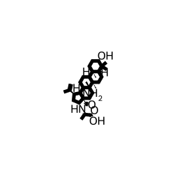 C=C(C)[C@@H]1CC[C@]2(C(=O)NC(C)C(=O)O)CC[C@@]3(C)[C@]4(C)CC[C@H]5C(C)(C)[C@@H](O)CC[C@]5(C)[C@H]4CC[C@]3(N)[C@@H]12